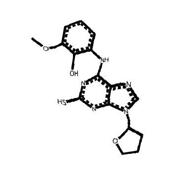 COc1cccc(Nc2nc(S)nc3c2ncn3C2CCCO2)c1O